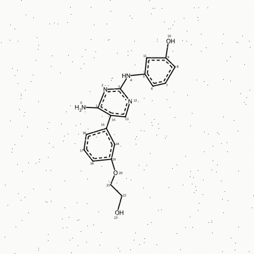 Nc1nc(Nc2cccc(O)c2)ncc1-c1cccc(OCCO)c1